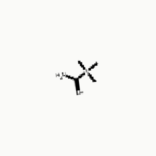 CS(C)(C)C(=N)N